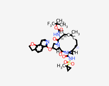 CC[C@@H]1C[C@H](C)CC/C=C\[C@@H]2C[C@@]2(C(=O)NS(=O)(=O)C2(C)CC2)NC(=O)[C@@H]2C[C@@H](Oc3nccc4c5c(ccc34)CCO5)CN2C(=O)[C@H]1NC(=O)OC(C)(C)C(F)(F)F